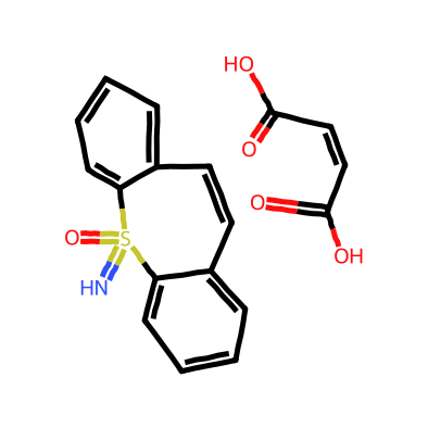 N=S1(=O)c2ccccc2C=Cc2ccccc21.O=C(O)/C=C\C(=O)O